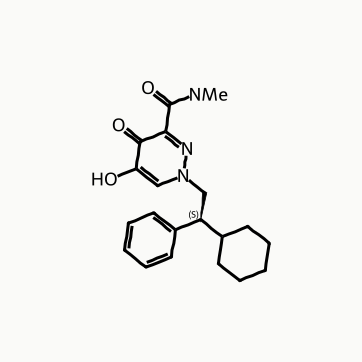 CNC(=O)c1nn(C[C@H](c2ccccc2)C2CCCCC2)cc(O)c1=O